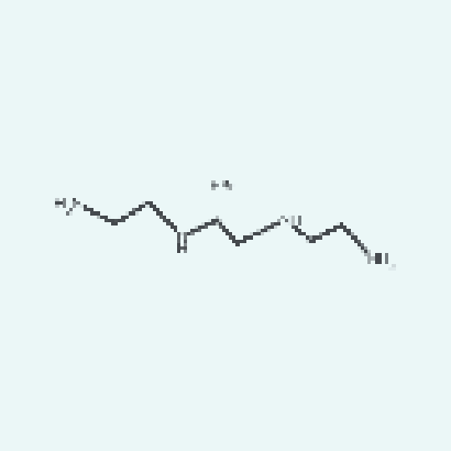 Br.NCCNCCNCCN